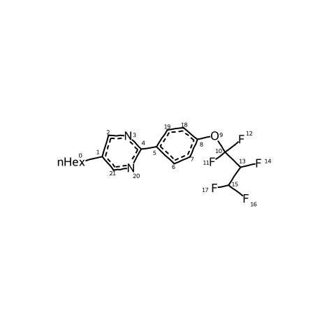 CCCCCCc1cnc(-c2ccc(OC(F)(F)C(F)C(F)F)cc2)nc1